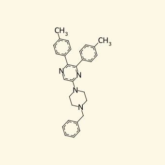 Cc1ccc(-c2ncc(N3CCN(Cc4ccccc4)CC3)nc2-c2ccc(C)cc2)cc1